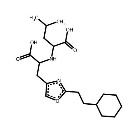 CC(C)CC(NC(Cc1coc(CCC2CCCCC2)n1)C(=O)O)C(=O)O